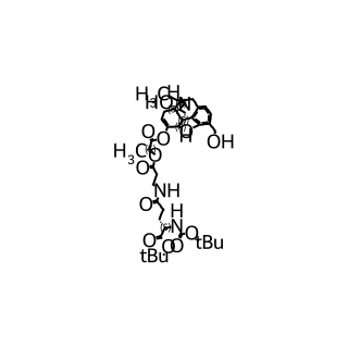 C[C@H](OC(=O)CCNC(=O)CC[C@H](NC(=O)OC(C)(C)C)C(=O)OC(C)(C)C)C(=O)OC1=CC[C@@]2(O)[C@H]3Cc4ccc(CO)c5c4[C@@]2(CCN3C)[C@H]1O5